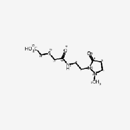 CN1CCC(=O)N1CCNC(=O)CSCC(=O)O